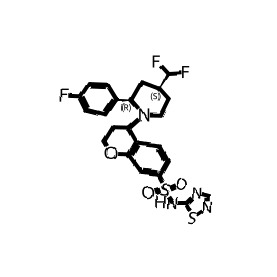 O=S(=O)(Nc1ncns1)c1ccc2c(c1)OCCC2N1CC[C@H](C(F)F)C[C@@H]1c1ccc(F)cc1